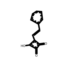 O=c1c(O)c(C=Cc2ccccc2)c1=O